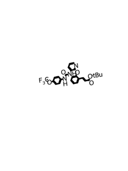 CC(C)(C)OC(=O)C=Cc1ccccc1Oc1ncccc1NC(=O)Nc1ccc(OC(F)(F)F)cc1